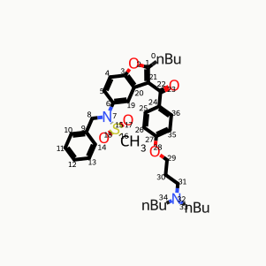 CCCCc1oc2ccc(N(Cc3ccccc3)S(C)(=O)=O)cc2c1C(=O)c1ccc(OCCCN(CCCC)CCCC)cc1